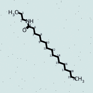 CC[CH]NC(=O)CCCCCCCCCCCCCCC